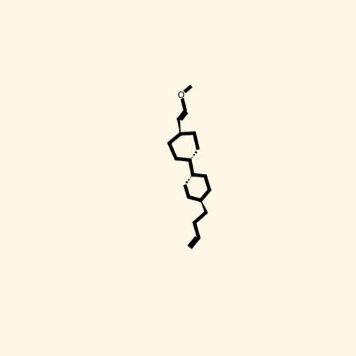 C=CCC[C@H]1CC[C@H]([C@H]2CC[C@H](C=COC)CC2)CC1